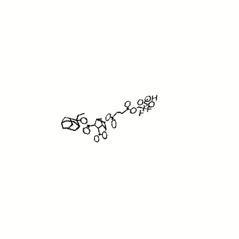 CCC1(OC(=O)C2C3CC4C(OC(=O)C42)C3OC(=O)CCC(=O)OCC(F)(F)S(=O)(=O)O)C2CC3CC(C2)CC1C3